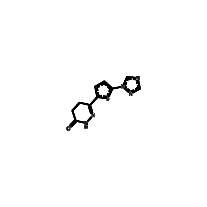 O=C1CCC(c2ccc(-n3cncn3)s2)=NN1